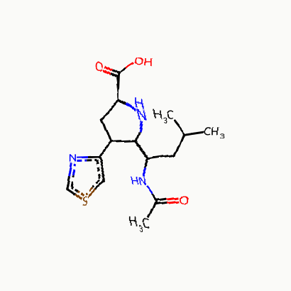 CC(=O)NC(CC(C)C)C1N[C@H](C(=O)O)CC1c1cscn1